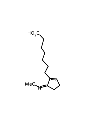 CON=C1CCC=C1CCCCCCC(=O)O